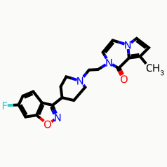 Cc1ccn2ccn(CCN3CCC(c4noc5cc(F)ccc45)CC3)c(=O)c12